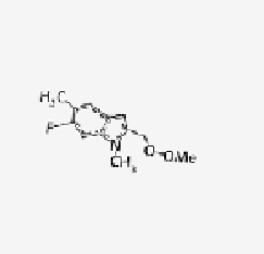 COOCc1cc2cc(C)c(F)cc2n1C